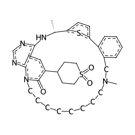 C[C@H]1Nc2ncnc3c2cc(C2CCS(=O)(=O)CC2)c(=O)n3CCCCCCCCN(C)Cc2ccccc2-c2ccc1s2